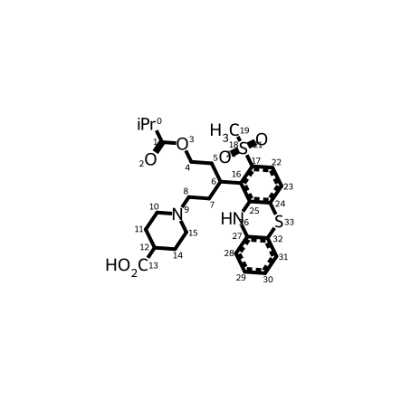 CC(C)C(=O)OCCC(CCN1CCC(C(=O)O)CC1)c1c(S(C)(=O)=O)ccc2c1Nc1ccccc1S2